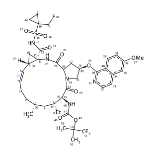 CC[C@@H]1C[C@H](C)CC/C=C\[C@@H]2C[C@@]2(C(=O)NS(=O)(=O)C2(CF)CC2)NC(=O)C2C[C@@H](Oc3nccc4cc(OC)ccc34)CN2C(=O)[C@H]1NC(=O)OC(C)(C)C(F)(F)F